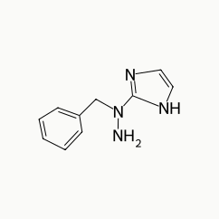 NN(Cc1ccccc1)c1ncc[nH]1